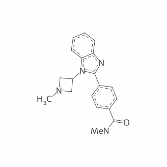 CNC(=O)c1ccc(-c2nc3ccccc3n2C2CN(C)C2)cc1